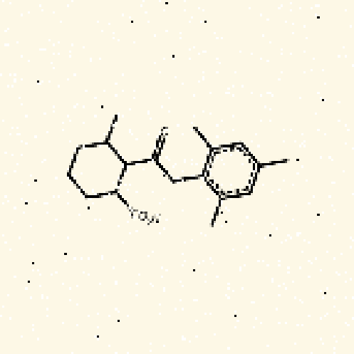 Cc1cc(C)c(CC(=O)C2C(C)CCCC2C(=O)O)c(C)c1